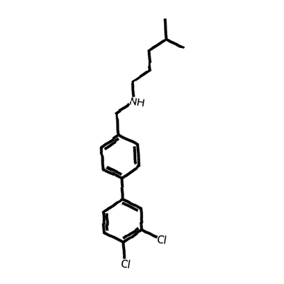 CC(C)CCCNCc1ccc(-c2ccc(Cl)c(Cl)c2)cc1